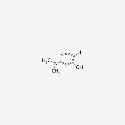 CN(C)c1ccc(I)c(O)c1